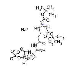 CC(C)(C)OC(=O)/N=C(/NCCC(=O)NC(=N)[C@@H]1CC[C@@H]2CN1C(=O)N2OS(=O)(=O)[O-])NC(=O)OC(C)(C)C.[Na+]